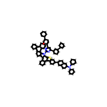 c1ccc(-c2ccc(-c3cc(-c4cccc(-c5ccccc5)c4)nc(-n4c5c(ccc6c7ccccc7c7ccccc7c65)c5c6ccccc6c6c7ccc(-c8ccc9cc(N(c%10ccccc%10)c%10ccccc%10)ccc9c8)cc7sc6c54)n3)cc2)cc1